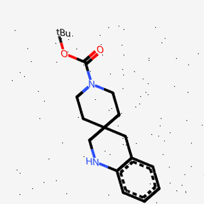 CC(C)(C)OC(=O)N1CCC2(CC1)CNc1ccccc1C2